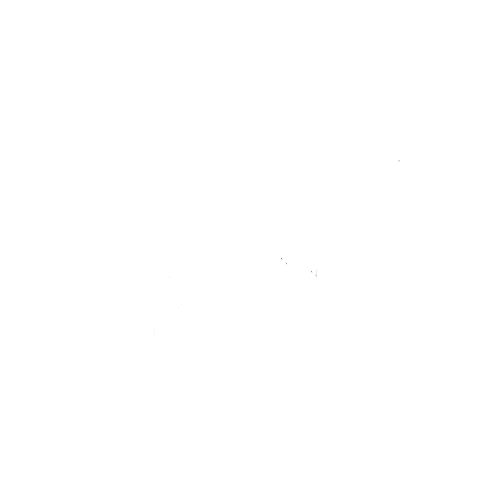 CCCCCCCOc1ccc(Br)cc1Cn1nc(CCC(=O)O)cc1C